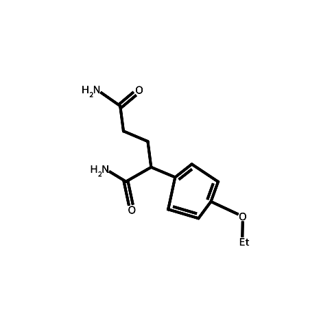 CCOc1ccc(C(CCC(N)=O)C(N)=O)cc1